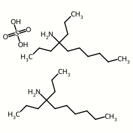 CCCCCCC(N)(CCC)CCC.CCCCCCC(N)(CCC)CCC.O=S(=O)(O)O